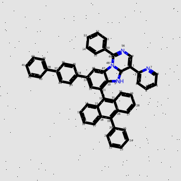 C1=C(c2ccccn2)C2Nc3c(-c4c5ccccc5c(-c5ccccc5)c5ccccc45)cc(-c4ccc(-c5ccccc5)cc4)cc3N2C(c2ccccc2)=N1